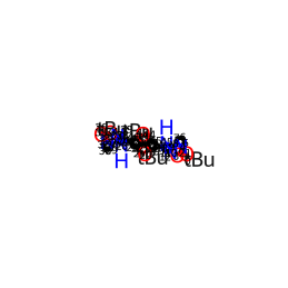 CC(C)(C)OC(=O)N1CCC[C@H]1c1nc(C(C)(C)C)c(-c2cc3c4c(c2)OCc2cc(-c5[nH]c([C@@H]6CCCN6C(=O)OC(C)(C)C)nc5C(C)(C)C)cc(c2-4)OC3)[nH]1